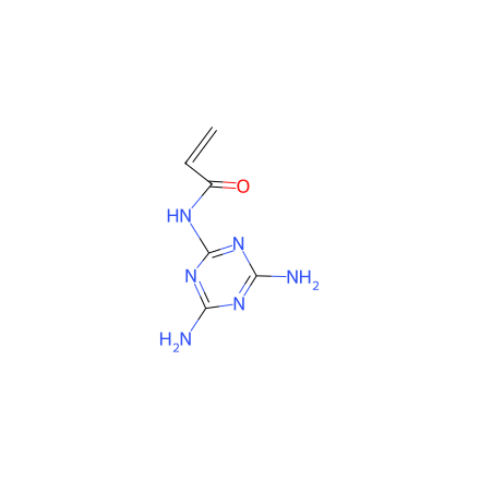 C=CC(=O)Nc1nc(N)nc(N)n1